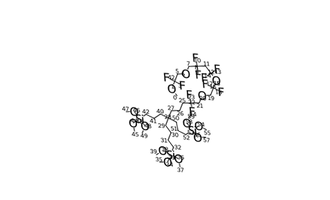 COC(F)(F)COCC(F)(F)CC(F)(F)OC(F)(F)COCC(F)(F)CCCC(CCCC[Si](OC)(OC)OC)(CCC[Si](OC)(OC)OC)CCC[Si](OC)(OC)OC